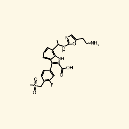 CC(Nc1ncc(CCN)o1)c1cccc2c(-c3ccc(CS(C)(=O)=O)c(F)c3)c(C(=O)O)[nH]c12